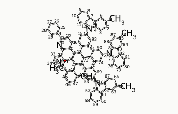 Cc1ccc2c(c1)c1ccccc1n2-c1ccc(-c2c(-c3ccc(-c4ccccc4)nc3-c3ccccc3)c(C#N)c(-c3c(C)cccc3C)c(-c3ccc(-n4c5ccccc5c5cc(C)ccc54)cc3)c2-c2ccc(-n3c4ccccc4c4cc(C)ccc43)cc2)cc1